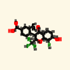 Cc1cc(C(=O)O)ccc1-c1c(C(F)(F)F)oc2c(F)c(O)ccc2c1=O